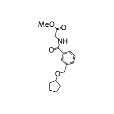 COC(=O)CNC(=O)c1cccc(COC2CCCC2)c1